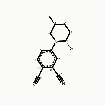 C[C@H]1CC[C@H](C)N(c2ccc(C#N)c(C#N)c2)C1